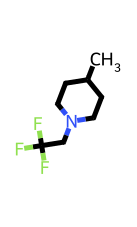 C[C]1CCN(CC(F)(F)F)CC1